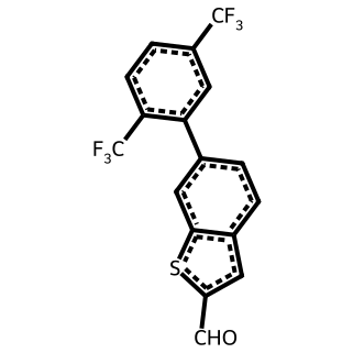 O=Cc1cc2ccc(-c3cc(C(F)(F)F)ccc3C(F)(F)F)cc2s1